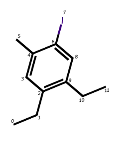 CCc1cc(C)c(I)cc1CC